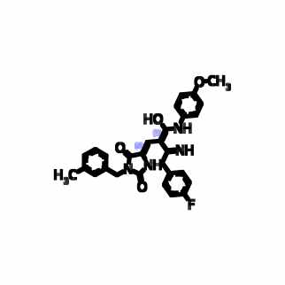 COc1ccc(N/C(O)=C(/C=C2\NC(=O)N(Cc3cccc(C)c3)C2=O)C(=N)Cc2ccc(F)cc2)cc1